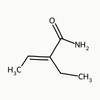 C/C=C(\CC)C(N)=O